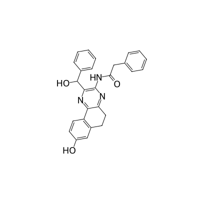 O=C(Cc1ccccc1)Nc1nc2c(nc1C(O)c1ccccc1)-c1ccc(O)cc1CC2